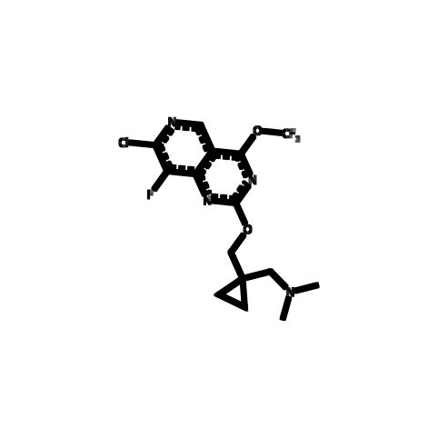 CN(C)CC1(COc2nc(OC(F)(F)F)c3cnc(Cl)c(F)c3n2)CC1